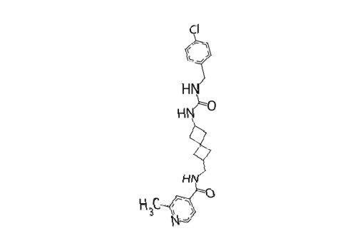 Cc1cc(C(=O)NCC2CC3(C2)CC(NC(=O)NCc2ccc(Cl)cc2)C3)ccn1